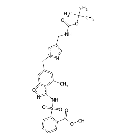 COC(=O)c1ccccc1S(=O)(=O)Nc1noc2cc(Cn3cc(CNC(=O)OC(C)(C)C)cn3)cc(C)c12